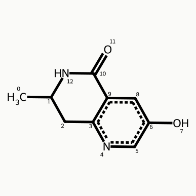 CC1Cc2ncc(O)cc2C(=O)N1